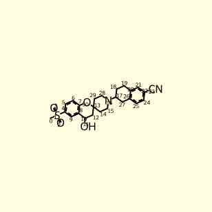 CS(=O)(=O)c1ccc2c(c1)C(O)CC1(CCN(C3CCc4cc(C#N)ccc4C3)CC1)O2